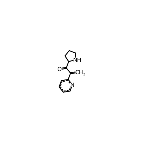 C=C(C(=O)C1CCCN1)c1ccccn1